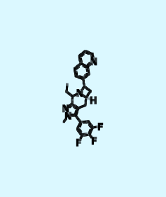 CCC1c2nn(C)c(-c3cc(F)c(F)c(F)c3)c2C[C@@H]2CC(c3ccc4cccnc4c3)N12